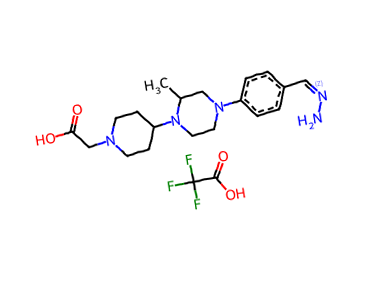 CC1CN(c2ccc(/C=N\N)cc2)CCN1C1CCN(CC(=O)O)CC1.O=C(O)C(F)(F)F